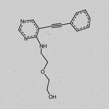 OCCOCCNc1ncncc1C#Cc1ccccc1